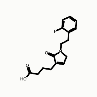 O=C(O)CCCC1=CCN(CCc2ccccc2F)C1=O